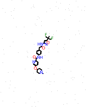 CN1CCC(Oc2ccc(C(=O)Nc3ccc(CC(=O)Nc4cc(C(C)(CF)CF)on4)cc3)nc2)CC1